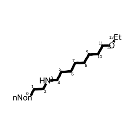 CCCCCCCCCCCNCCCCCCCCOCC